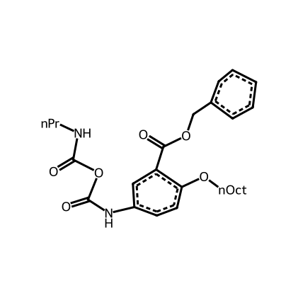 CCCCCCCCOc1ccc(NC(=O)OC(=O)NCCC)cc1C(=O)OCc1ccccc1